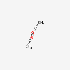 CCCCC[C@H]1CC[C@H](CCCOc2ccc(OC[C@H]3CC[C@H](CCCCC)CC3)cc2)CC1